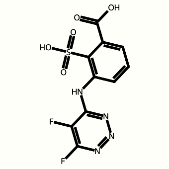 O=C(O)c1cccc(Nc2nnnc(F)c2F)c1S(=O)(=O)O